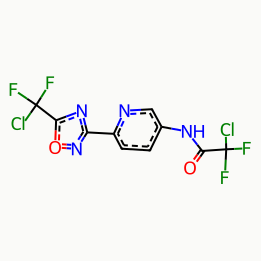 O=C(Nc1ccc(-c2noc(C(F)(F)Cl)n2)nc1)C(F)(F)Cl